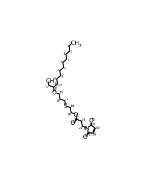 CCCCCCCCCCCC(CC)OCCCSCCOC(=O)CCN1C(=O)C=CC1=O